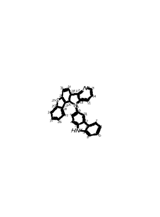 c1ccc2c(c1)[nH]c1ccc(-n3c4cccnc4c4ccc5sc6ccccc6c5c43)cc12